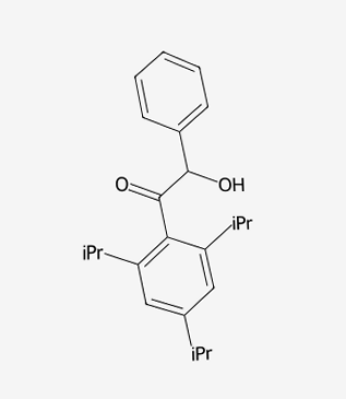 CC(C)c1cc(C(C)C)c(C(=O)C(O)c2ccccc2)c(C(C)C)c1